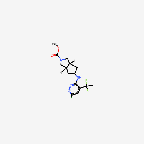 CC(C)(C)OC(=O)N1C[C@H]2CC(Nc3nnc(Cl)cc3C(C)(F)F)C[C@H]2C1